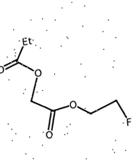 C[CH]C(=O)OCC(=O)OCCF